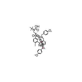 COc1ccc(CN(Cc2ccc(OC)cc2)S(=O)(=O)c2c(S(=O)(=O)[C@@H](C)CN(C(=O)O)C(C)(C)C)ccc(I)c2-c2nnn(Cc3ccc(OC)cc3)n2)cc1